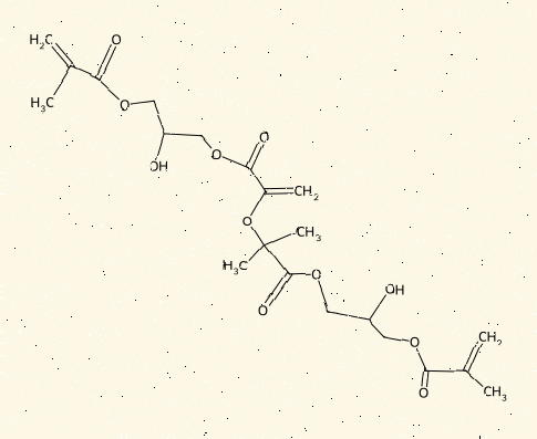 C=C(C)C(=O)OCC(O)COC(=O)C(=C)OC(C)(C)C(=O)OCC(O)COC(=O)C(=C)C